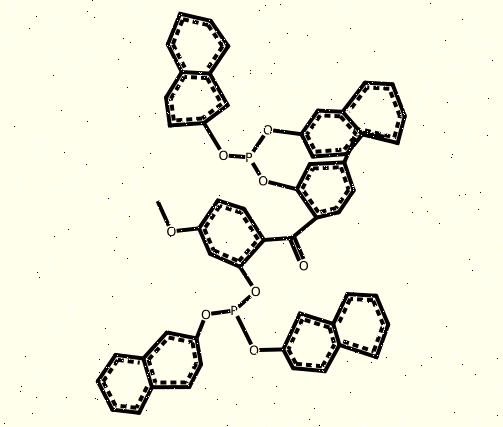 COc1ccc(C(=O)c2ccc(OC)cc2OP(Oc2ccc3ccccc3c2)Oc2ccc3ccccc3c2)c(OP(Oc2ccc3ccccc3c2)Oc2ccc3ccccc3c2)c1